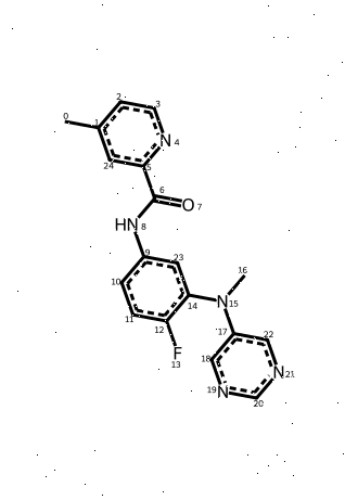 Cc1ccnc(C(=O)Nc2ccc(F)c(N(C)c3cncnc3)c2)c1